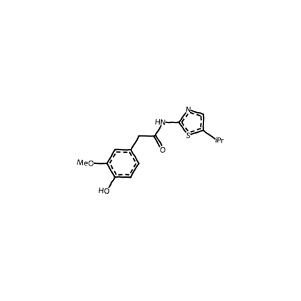 COc1cc(CC(=O)Nc2ncc(C(C)C)s2)ccc1O